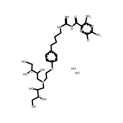 Cl.Cl.N=C(NCCCCc1ccc(OCCN(CC(O)[C@@H](O)CO)CC(O)[C@@H](O)CO)cc1)NC(=O)c1nc(Cl)c(N)nc1N